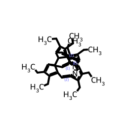 CCC1=C2/C=c3/c(CC)c(CC)/c4n3-n3/c5c(CC)c(CC)/c3=C\C(=C1CC)C2C1C(=C(CC)C(CC)=C1/C=4)/C=5